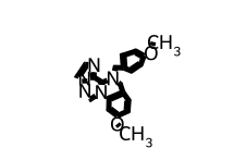 COc1ccc(CN(Cc2ccc(OC)cc2)c2ncnn3ccnc23)cc1